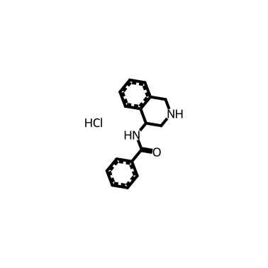 Cl.O=C(NC1CNCc2ccccc21)c1ccccc1